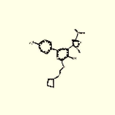 CN(C)c1cc(-c2cc(-c3cnc(N)nc3)nc(SCSC3CCC3)c2C#N)n(C)n1